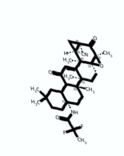 CC1(C)CC[C@]2(NC(=O)C(C)(F)F)CC[C@]3(C)C(C(=O)C=C4[C@@]5(C)[C@H]6C[C@@]6(C#N)C(=O)[C@@]6(C)O[C@@]56CC[C@]43C)C2C1